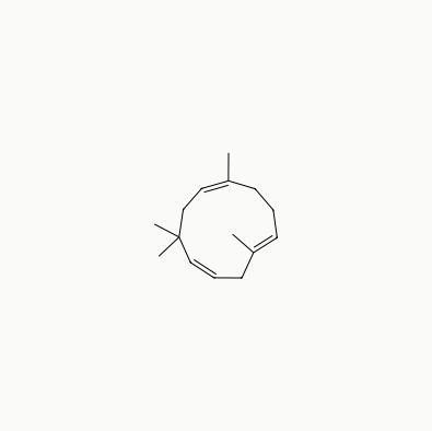 CC1=CCC(C)(C)C=CC/C(C)=C/CC1